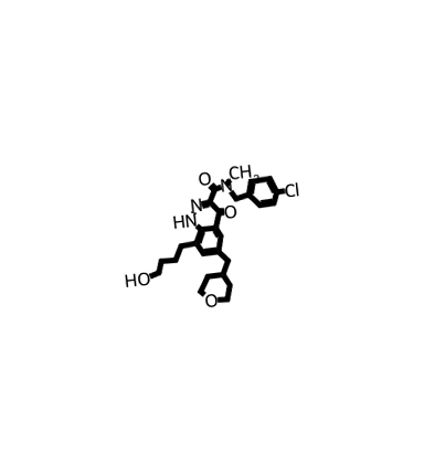 CN(Cc1ccc(Cl)cc1)C(=O)c1n[nH]c2c(CCCCO)cc(CC3CCOCC3)cc2c1=O